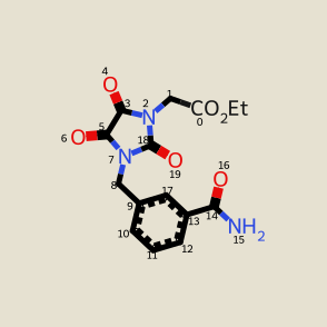 CCOC(=O)CN1C(=O)C(=O)N(Cc2cccc(C(N)=O)c2)C1=O